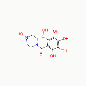 O=C(c1c(O)c(O)c(O)c(O)c1OO)N1CCN(O)CC1